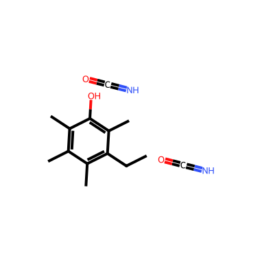 CCc1c(C)c(C)c(C)c(O)c1C.N=C=O.N=C=O